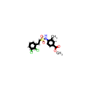 COC(=O)c1ccc(NS(=O)(=O)CCc2cccc(Cl)c2Cl)c(C)c1